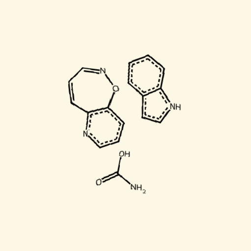 C1=Cc2ncccc2ON=C1.NC(=O)O.c1ccc2[nH]ccc2c1